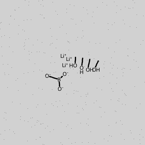 CO.CO.CO.CO.[Li+].[Li+].[Li+].[O-]B([O-])[O-]